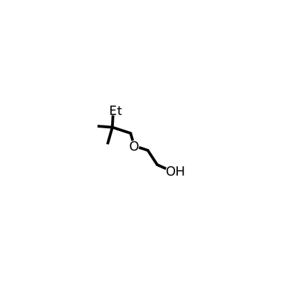 CCC(C)(C)COCCO